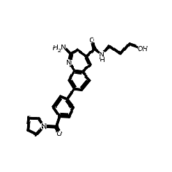 NC1=Nc2cc(-c3ccc(C(=O)N4CCCC4)cc3)ccc2C=C(C(=O)NCCCO)C1